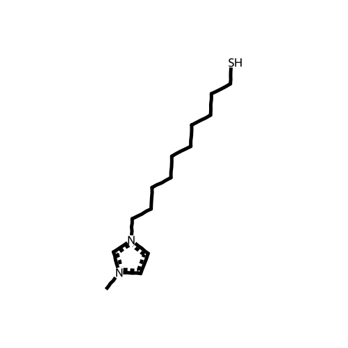 C[n+]1ccn(CCCCCCCCCCS)c1